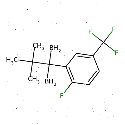 BC(B)(c1cc(C(F)(F)F)ccc1F)C(C)(C)C